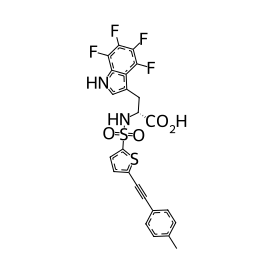 Cc1ccc(C#Cc2ccc(S(=O)(=O)N[C@H](Cc3c[nH]c4c(F)c(F)c(F)c(F)c34)C(=O)O)s2)cc1